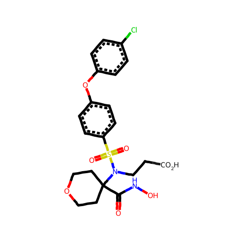 O=C(O)CCN(C1(C(=O)NO)CCOCC1)S(=O)(=O)c1ccc(Oc2ccc(Cl)cc2)cc1